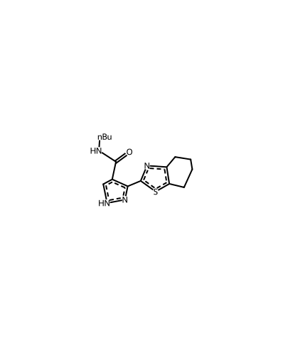 CCCCNC(=O)c1c[nH]nc1-c1nc2c(s1)CCCC2